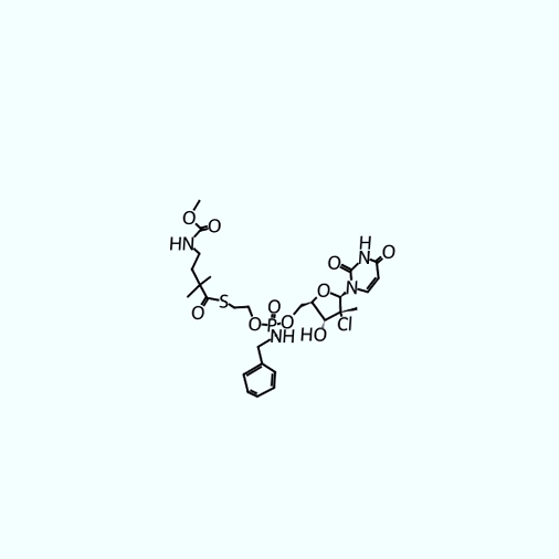 COC(=O)NCCC(C)(C)C(=O)SCCO[P@@](=O)(NCc1ccccc1)OC[C@H]1O[C@@H](n2ccc(=O)[nH]c2=O)[C@](C)(Cl)[C@@H]1O